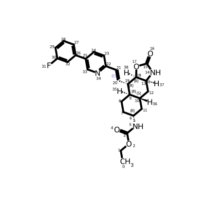 CCOC(=O)N[C@@H]1CC[C@@H]2[C@@H](C1)C[C@@H]1NC(=O)O[C@@H]1[C@H]2/C=C/c1ccc(-c2cccc(F)c2)cn1